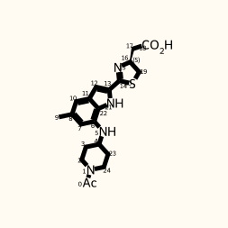 CC(=O)N1CCC(Nc2cc(C)cc3cc(C4=N[C@@H](CC(=O)O)CS4)[nH]c23)CC1